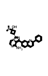 CN(C)[C@]1(O)C[C@H](c2nc(-c3ccc4ccc(-c5ccccc5)nc4c3)c3c(N)nccn32)C1